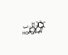 CC[C@H](Nc1ncnc2ccccc12)C(=O)O